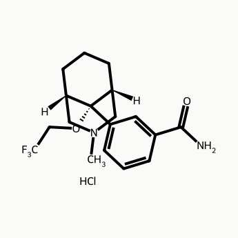 CN1C[C@H]2CCC[C@@H](C1)[C@]2(OCC(F)(F)F)c1cccc(C(N)=O)c1.Cl